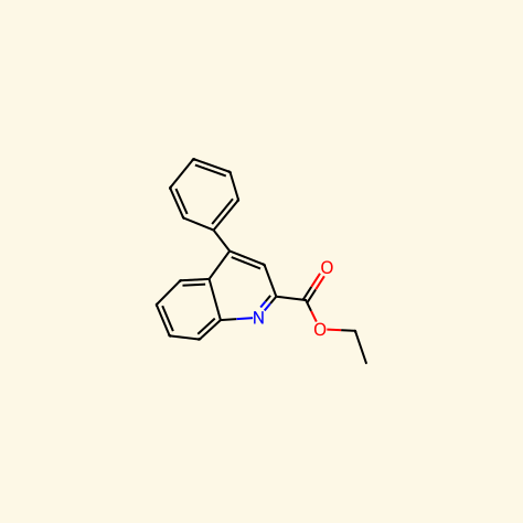 CCOC(=O)c1cc(-c2ccccc2)c2ccccc2n1